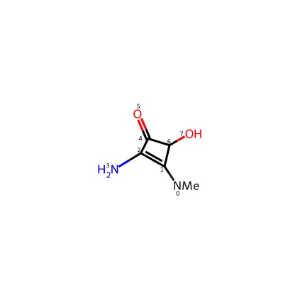 CNC1=C(N)C(=O)C1O